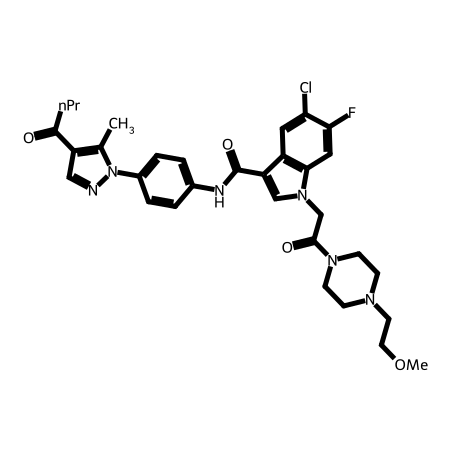 CCCC(=O)c1cnn(-c2ccc(NC(=O)c3cn(CC(=O)N4CCN(CCOC)CC4)c4cc(F)c(Cl)cc34)cc2)c1C